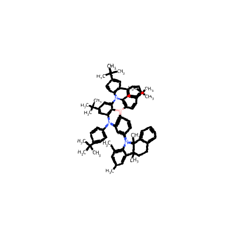 Cc1cc(C)c2c(c1)C1(C)CCc3ccccc3C1(C)N2c1ccc2c(c1)N(c1ccc(C(C)(C)C)cc1)c1cc(C(C)(C)C)cc3c1B2c1ccc(C(C)(C)C)cc1N3c1ccc(C(C)(C)C)cc1-c1ccccc1